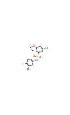 O=S(=O)(Nc1ccc(F)c(Br)c1F)c1cc(Cl)cc2c1CCO2